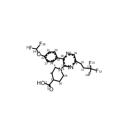 O=C(O)C1CCN(c2nc(CCC(F)(F)F)cnc2-c2ccc(OC(F)F)cc2)CC1